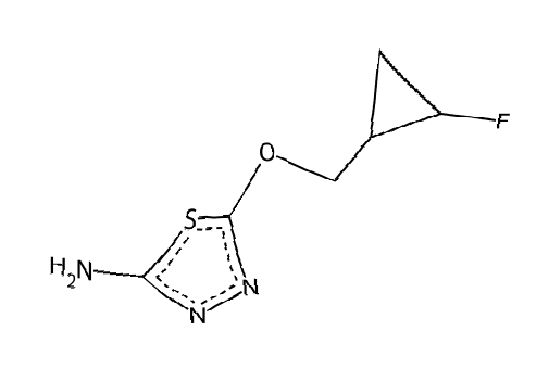 Nc1nnc(OCC2CC2F)s1